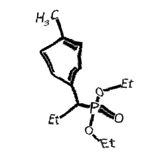 CCOP(=O)(OCC)C(CC)c1ccc(C)cc1